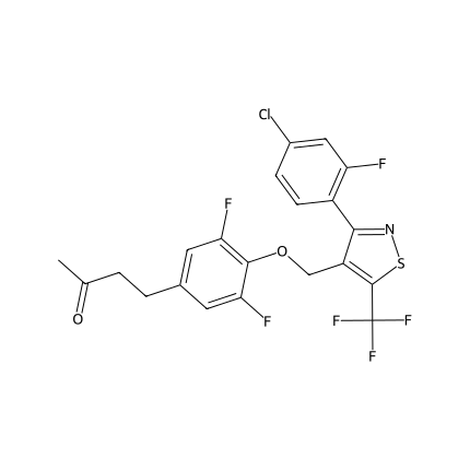 CC(=O)CCc1cc(F)c(OCc2c(-c3ccc(Cl)cc3F)nsc2C(F)(F)F)c(F)c1